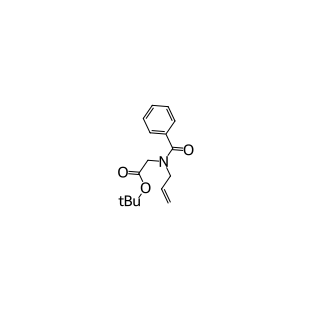 C=CCN(CC(=O)OC(C)(C)C)C(=O)c1ccccc1